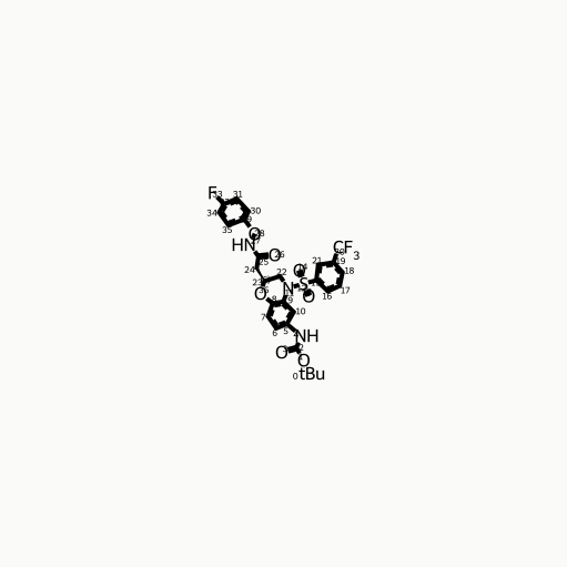 CC(C)(C)OC(=O)Nc1ccc2c(c1)N(S(=O)(=O)c1cccc(C(F)(F)F)c1)C[C@H](CC(=O)NOc1ccc(F)cc1)O2